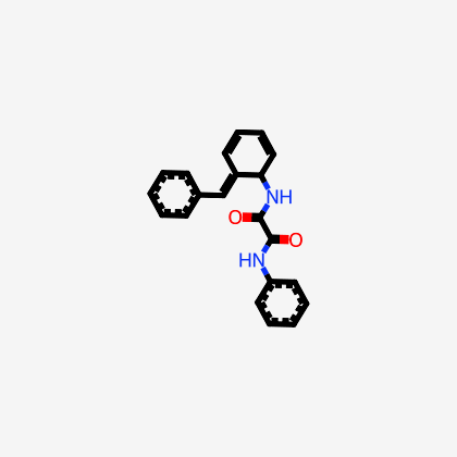 O=C(Nc1ccccc1)C(=O)NC1C=CC=CC1=Cc1ccccc1